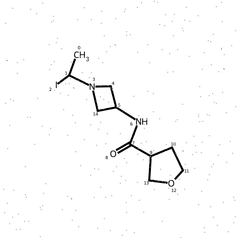 CC(I)N1CC(NC(=O)C2CCOC2)C1